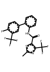 Cc1nc(C(F)(F)F)c(C(=O)Nc2ccccc2-c2ccc(F)c(C(F)(F)F)c2)s1